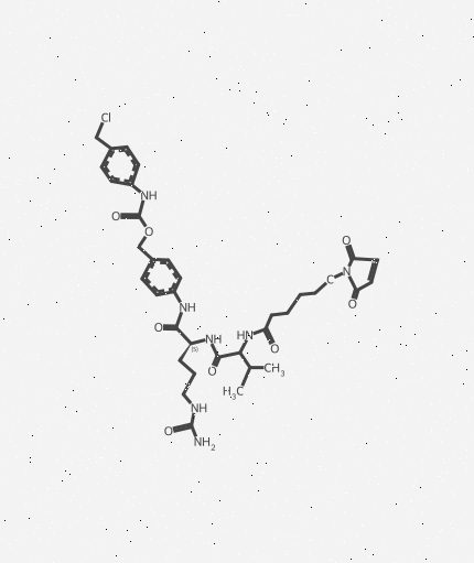 CC(C)C(NC(=O)CCCCCN1C(=O)C=CC1=O)C(=O)N[C@@H](CCCNC(N)=O)C(=O)Nc1ccc(COC(=O)Nc2ccc(CCl)cc2)cc1